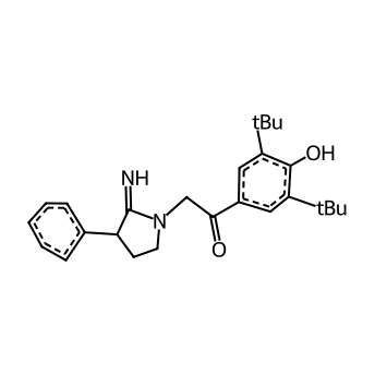 CC(C)(C)c1cc(C(=O)CN2CCC(c3ccccc3)C2=N)cc(C(C)(C)C)c1O